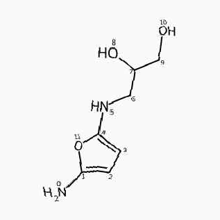 Nc1ccc(NCC(O)CO)o1